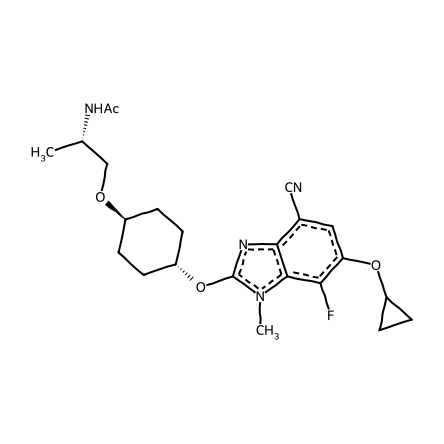 CC(=O)N[C@@H](C)CO[C@H]1CC[C@H](Oc2nc3c(C#N)cc(OC4CC4)c(F)c3n2C)CC1